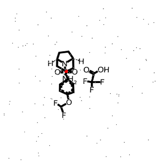 NC1C[C@H]2CC[C@@H](C1)N2S(=O)(=O)c1ccc(OC(F)F)cc1.O=C(O)C(F)(F)F